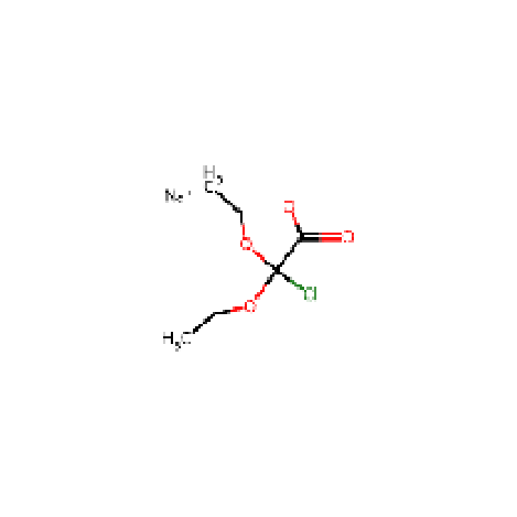 CCOC(Cl)(OCC)C(=O)[O-].[Na+]